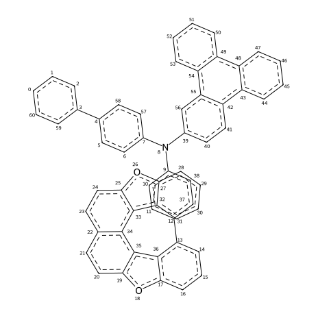 c1ccc(-c2ccc(N(c3ccc(-c4cccc5oc6ccc7ccc8oc9ccccc9c8c7c6c45)cc3)c3ccc4c5ccccc5c5ccccc5c4c3)cc2)cc1